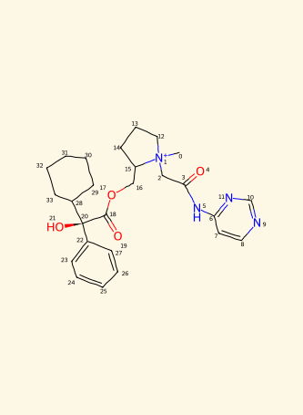 C[N+]1(CC(=O)Nc2ccncn2)CCCC1COC(=O)[C@](O)(c1ccccc1)C1CCCCC1